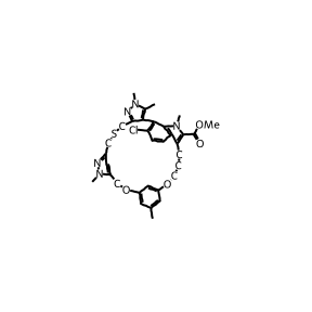 COC(=O)c1c2c3ccc(Cl)c(c3n1C)-c1c(nn(C)c1C)CSCc1cc(n(C)n1)COc1cc(C)cc(c1)OCCC2